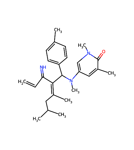 C=CC(=N)/C(=C(/C)CC(C)C)C(c1ccc(C)cc1)N(C)c1cc(C)c(=O)n(C)c1